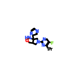 CC(C)c1nc(N2CC3CONC3(c3cnccn3)C2)ncc1F